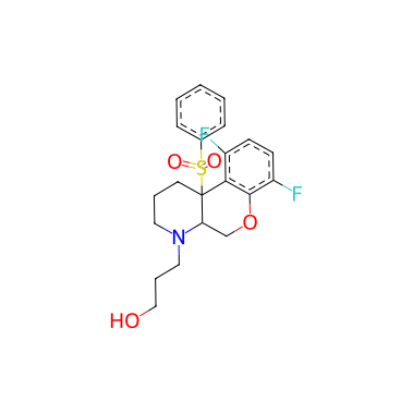 O=S(=O)(c1ccccc1)C12CCCN(CCCO)C1COc1c(F)ccc(F)c12